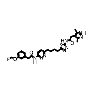 Cc1n[nH]c(C)c1CC(=O)Nc1nnc(CCCCc2ccc(NC(=O)Cc3cccc(OCF)c3)nn2)s1